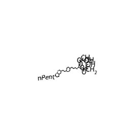 C=C(CO)C(=O)OCC(CCCCC1CCC(CCC2CCC3C=C(CCCCC)C=CC3C2)CC1)COC(=O)C(=C)CO